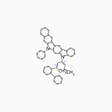 C=C/C=C(\C=C(/C)c1ccccc1-c1ccccc1)n1c2ccccc2c2cc3c4cc5ccccc5cc4n(-c4ccccc4)c3cc21